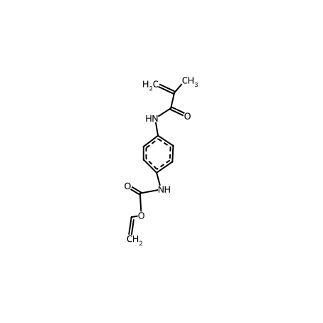 C=COC(=O)Nc1ccc(NC(=O)C(=C)C)cc1